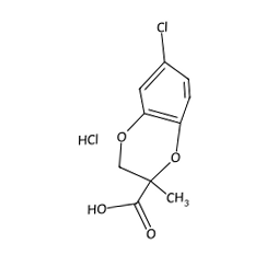 CC1(C(=O)O)COc2cc(Cl)ccc2O1.Cl